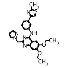 CCOc1cc2nc(Cn3cccn3)nc(Nc3cccc(-c4csc(C)n4)c3)c2cc1OCC